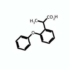 CC(C(=O)O)c1ccccc1Oc1ccccc1